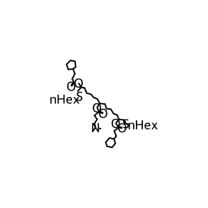 CCCCCCSCC(CCCCCC(CCCCCC(CSCCCCCC)OC(=O)CCC1CCCCC1)OC(=O)CCCN(C)C)OC(=O)CCC1CCCCC1